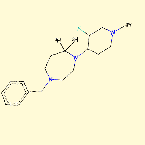 [2H]C1([2H])CCN(Cc2ccccc2)CCN1C1CCN(C(C)C)CC1F